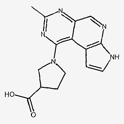 Cc1nc(N2CCC(C(=O)O)C2)c2c(cnc3[nH]ccc32)n1